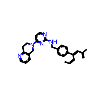 C=C(C)/C=C(\C=C/C)c1ccc(CNc2nccc(N3CCc4ncccc4C3)n2)cc1